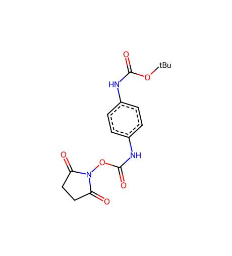 CC(C)(C)OC(=O)Nc1ccc(NC(=O)ON2C(=O)CCC2=O)cc1